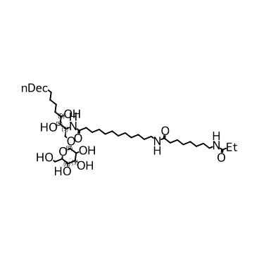 CCCCCCCCCCCCCC[C@@H](O)[C@@H](O)[C@H](CO[C@H]1OC(CO)[C@H](O)[C@H](O)C1O)NC(=O)CCCCCCCCCCCNC(=O)CCCCCCCNC(=O)CC